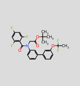 CC(C)(C)OC(=O)CN(C(=O)c1c(F)cc(F)cc1F)c1cccc(-c2cccc(OC(C)(F)F)c2)c1